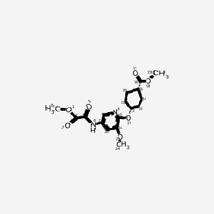 COC(=O)C(=O)Nc1cnc(O[C@H]2CC[C@@H](C(=O)OC)CC2)c(OC)c1